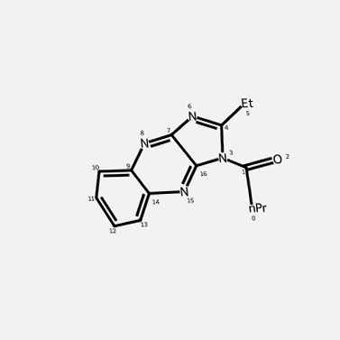 CCCC(=O)n1c(CC)nc2nc3ccccc3nc21